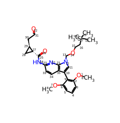 COc1cccc(OC)c1-c1cn(COCC[Si](C)(C)C)c2nc(NC(=O)[C@@H]3C[C@H]3CC=O)ccc12